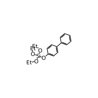 CCO[Si](OCC)(OCC)Oc1ccc(-c2ccccc2)cc1